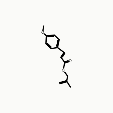 C=C(C)COC(=O)C=Cc1ccc(OC)cc1